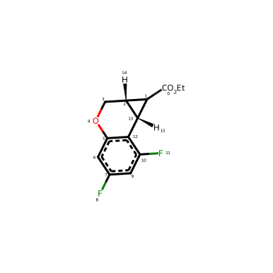 CCOC(=O)C1[C@H]2COc3cc(F)cc(F)c3[C@@H]12